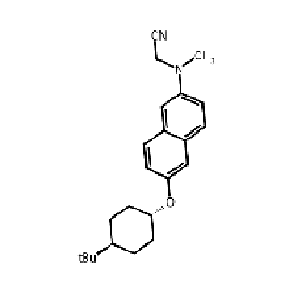 CN(CC#N)c1ccc2cc(O[C@H]3CC[C@H](C(C)(C)C)CC3)ccc2c1